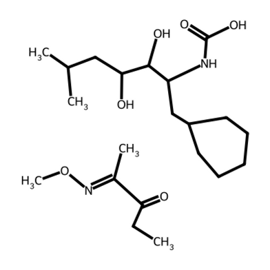 CC(C)CC(O)C(O)C(CC1CCCCC1)NC(=O)O.CCC(=O)C(C)=NOC